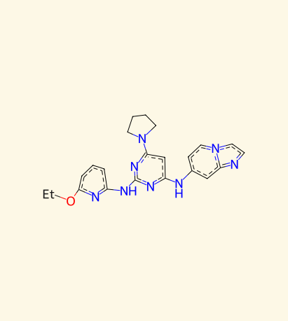 CCOc1cccc(Nc2nc(Nc3ccn4ccnc4c3)cc(N3CCCC3)n2)n1